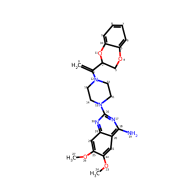 C=C(C1COc2ccccc2O1)N1CCN(c2nc(N)c3cc(OC)c(OC)cc3n2)CC1